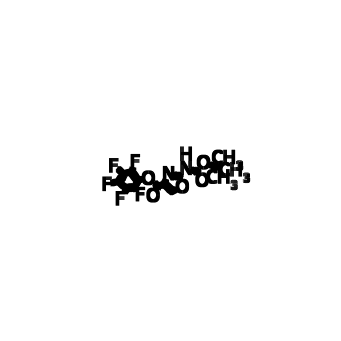 CC(C)(C)OC(=O)Nc1nc(C(=O)Oc2c(F)c(F)c(F)c(F)c2F)co1